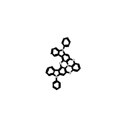 c1ccc(-n2c3ccccc3c3c4c5c(cc32)Oc2cccc3c2B5c2c(cc5c(c2O4)c2ccccc2n5-c2ccccc2)O3)cc1